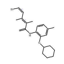 C=C(Nc1ccc(C)cc1OC1CCCCC1)/C(C)=C(C)/C=C\CC